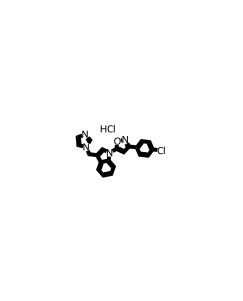 Cl.Clc1ccc(-c2cc(-n3cc(Cn4ccnc4)c4ccccc43)on2)cc1